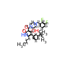 CCCCc1[nH]c(=O)c(C(=O)N2CCN(Cc3cccc(F)c3F)CC2)c(O)c1-c1cccc(C(C)C)c1